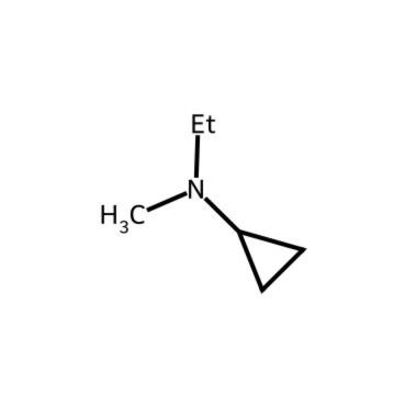 [CH2]CN(C)C1CC1